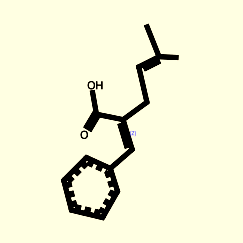 CC(C)=CC/C(=C/c1ccccc1)C(=O)O